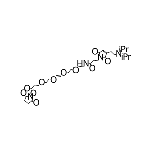 CC(C)N(CCC1=CC(=O)N(CCC(=O)NCCOCCOCCOCCOCCC(=O)ON2C(=O)CCC2=O)C1=O)C(C)C